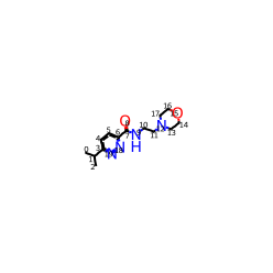 CC(C)c1ccc(C(=O)NCCN2CCOCC2)nn1